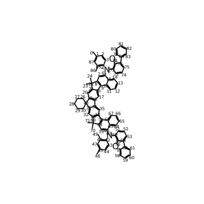 Cc1ccc(N(c2cc3c(c4ccccc24)-c2cc4c(cc2C3(C)C)C2(CCCCC2)c2cc3c(cc2-4)-c2c(cc(N(c4ccc(C)cc4C)c4cccc5c4oc4ccccc45)c4ccccc24)C3(C)C)c2cccc3c2oc2ccccc23)c(C)c1